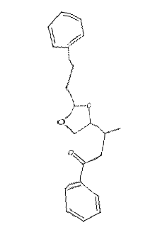 CC(CC(=O)c1ccccc1)C1COC(CCc2ccccc2)O1